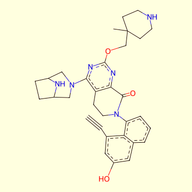 C#Cc1cc(O)cc2cccc(N3CCc4c(nc(OCC5(C)CCNCC5)nc4N4CC5CCC(C4)N5)C3=O)c12